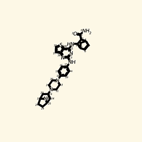 NC(=O)C1C2C=CC(C2)C1Nc1nc(Nc2ccc(N3CCN(C4CC5CCC(C4)N5)CC3)cc2)nc2ccsc12